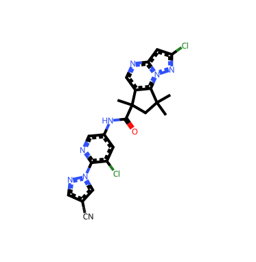 CC1(C)CC(C)(C(=O)Nc2cnc(-n3cc(C#N)cn3)c(Cl)c2)c2cnc3cc(Cl)nn3c21